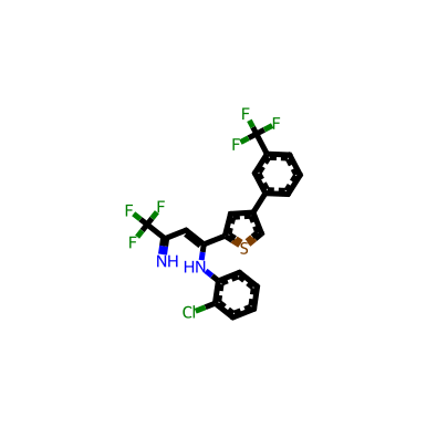 N=C(/C=C(\Nc1ccccc1Cl)c1cc(-c2cccc(C(F)(F)F)c2)cs1)C(F)(F)F